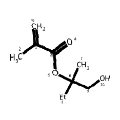 C=C(C)C(=O)OC(C)(CC)CO